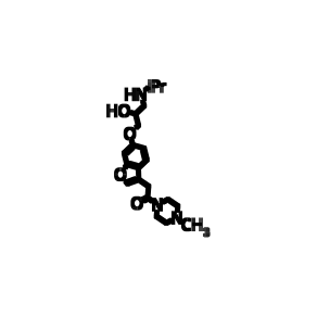 CC(C)NCC(O)COc1ccc2c(CC(=O)N3CCN(C)CC3)coc2c1